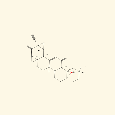 CC1(C)CC[C@@]23CC[C@@]4(C)[C@]5(C)CC[C@@]67O[C@]6(C)C(=O)[C@]6(C#N)C[C@@H]6[C@]7(C)C5=CC(=O)[C@]4(OC2=O)[C@@H]3C1